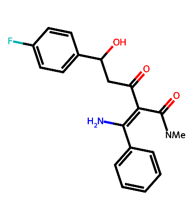 CNC(=O)C(C(=O)CC(O)c1ccc(F)cc1)=C(N)c1ccccc1